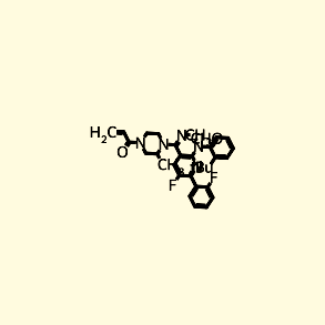 C=CC(=O)N1CCN(/C(=N/C)c2cc(F)c(-c3ccccc3F)nc2N(C=O)c2ccccc2C(C)(C)C)C(C)C1